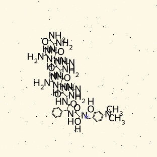 CN(C)c1ccc(/C=N/C(O)C(=O)NC(C(=O)NC(NC(=N)N)C(=O)NC(NC(=N)N)C(=O)NC(NC(=N)N)C(=O)NC(NC(=N)N)C(=O)NC(N)C(N)=O)c2ccccc2)c(O)c1